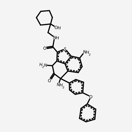 Nc1ccc2c3c(c(C(=O)NCC4(O)CCCCC4)sc13)C(N)C(=O)C2(N)c1ccc(Oc2ccccc2)cc1